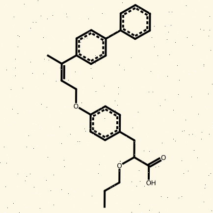 CCCOC(Cc1ccc(OCC=C(C)c2ccc(-c3ccccc3)cc2)cc1)C(=O)O